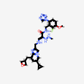 CNN/C(=C\NCc1cn2cc(C3CC3)cc(CC3COC3)c2n1)C(=O)NCc1c(-n2cnnn2)ccc(OC)c1F